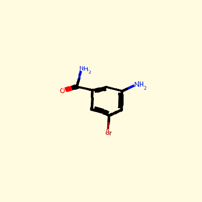 NC(=O)c1cc(N)cc(Br)c1